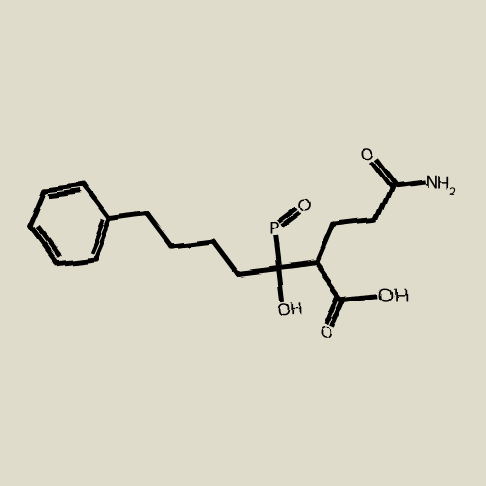 NC(=O)CCC(C(=O)O)C(O)(CCCCc1ccccc1)P=O